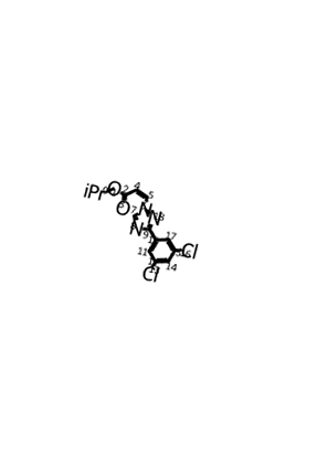 CC(C)OC(=O)/C=C\n1cnc(-c2cc(Cl)cc(Cl)c2)n1